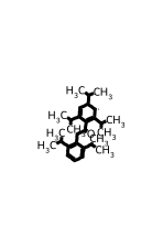 CC(C)C1=CC(C(C)C)[CH]C(C(C)C)=C1C(=O)Cc1c(C(C)C)cccc1C(C)C